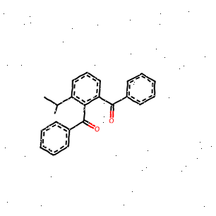 CC(C)c1cccc(C(=O)c2ccccc2)c1C(=O)c1ccccc1